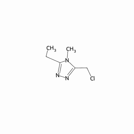 CCc1nnc(CCl)n1C